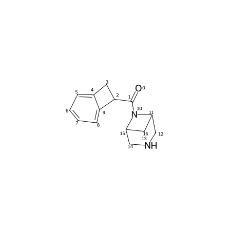 O=C(C1Cc2ccccc21)N1C2CNCC1C2